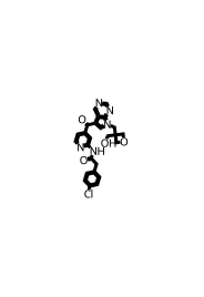 O=C(Cc1ccc(Cl)cc1)Nc1cc(C(=O)c2cn(CC3(CO)COC3)c3ncncc23)ccn1